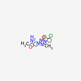 Cc1nc(N2CCC3(CC2)CO[C@@H](C)[C@H]3N)nc(=O)n1[C@@H]1CCCC(Cl)=C1Cl